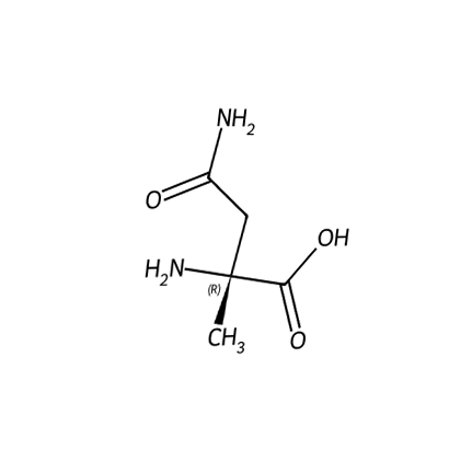 C[C@@](N)(CC(N)=O)C(=O)O